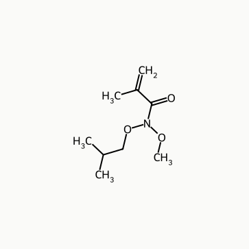 C=C(C)C(=O)N(OC)OCC(C)C